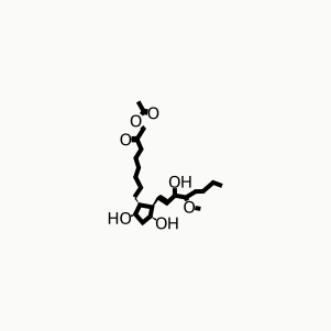 CCCCC(OC)C(O)/C=C/[C@@H]1[C@@H](CCCCCCC(=O)COC(C)=O)[C@@H](O)C[C@H]1O